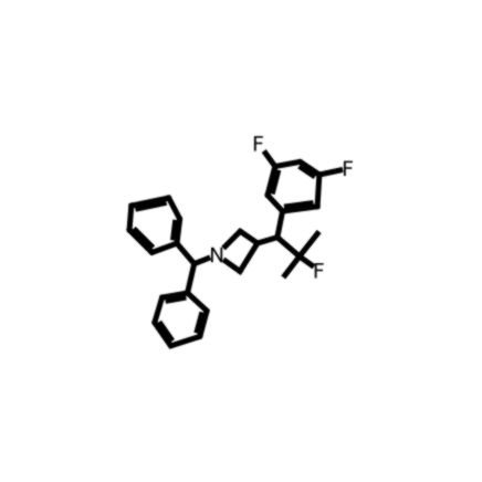 CC(C)(F)C(c1cc(F)cc(F)c1)C1CN(C(c2ccccc2)c2ccccc2)C1